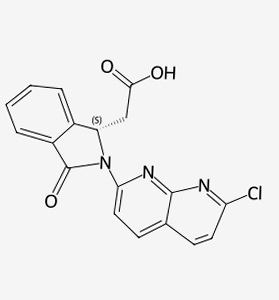 O=C(O)C[C@H]1c2ccccc2C(=O)N1c1ccc2ccc(Cl)nc2n1